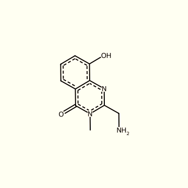 Cn1c(CN)nc2c(O)cccc2c1=O